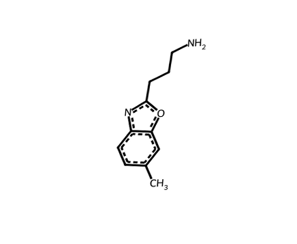 Cc1ccc2nc(CCCN)oc2c1